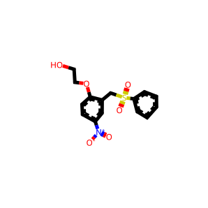 O=[N+]([O-])c1ccc(OCCO)c(CS(=O)(=O)c2ccccc2)c1